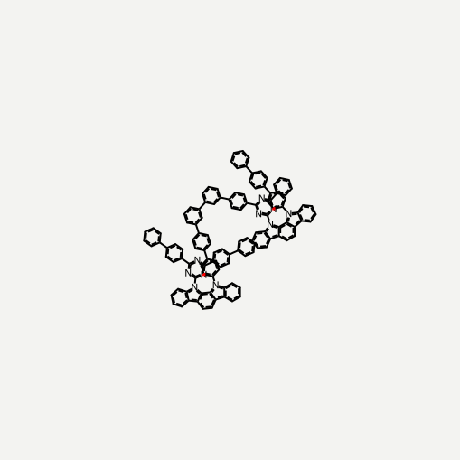 c1ccc(-c2ccc(-c3ccc(-n4c5ccccc5c5ccc6c7ccccc7n(-c7nc(-c8ccccc8)nc(-c8ccc(-c9cccc(-c%10cccc(-c%11ccc(-c%12ccc(-n%13c%14ccccc%14c%14ccc%15c%16ccccc%16n(-c%16nc(-c%17ccc(-c%18ccccc%18)cc%17)nc(-c%17ccc(-c%18ccccc%18)cc%17)n%16)c%15c%14%13)cc%12)cc%11)c%10)c9)cc8)n7)c6c54)cc3)cc2)cc1